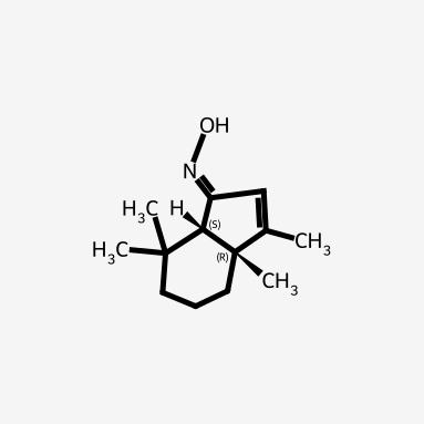 CC1=CC(=NO)[C@H]2C(C)(C)CCC[C@@]12C